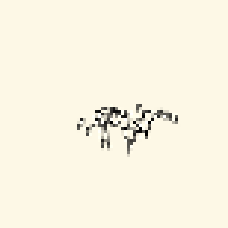 Cn1cc(-c2cc(F)cc(-n3ncc4cc(C(C)(C)C)cc(F)c4c3=O)c2CO)cc(NC(=O)[C@@H]2C[C@@H]2F)c1=O